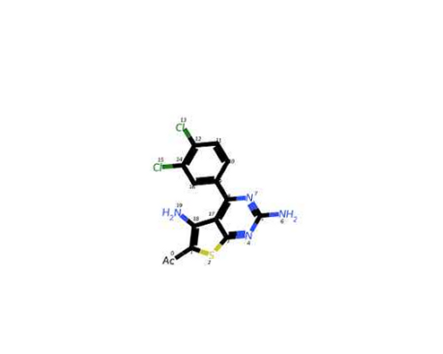 CC(=O)c1sc2nc(N)nc(-c3ccc(Cl)c(Cl)c3)c2c1N